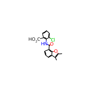 Cc1oc2c(C(=O)Nc3c(Cl)cccc3C(=O)O)cccc2c1C